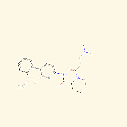 CN(C)CCC(=O)N1CCCC[C@@H]1C(=O)Nc1ccc(-c2ccccc2OC(F)(F)F)c(Cl)c1